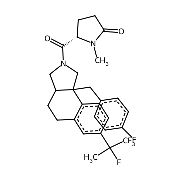 CN1C(=O)CC[C@H]1C(=O)N1CC2CCc3cc(C(C)(F)C(F)(F)F)ccc3C2(Cc2ccc(F)cc2)C1